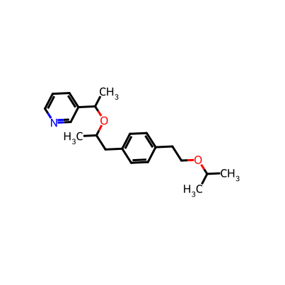 CC(C)OCCc1ccc(CC(C)OC(C)c2cccnc2)cc1